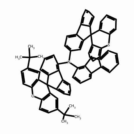 CC(C)(C)c1ccc2c(c1)C1(c3cc(C(C)(C)C)ccc3O2)c2ccccc2-c2c(N(c3ccc4c(c3)C3(c5ccccc5Sc5ccccc53)c3ccccc3-4)c3cccc4c3sc3ccccc34)cccc21